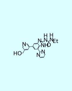 CCNC(=O)Nc1nc2cc(-c3cncc(CO)c3)cc(-c3ncccn3)c2[nH]1